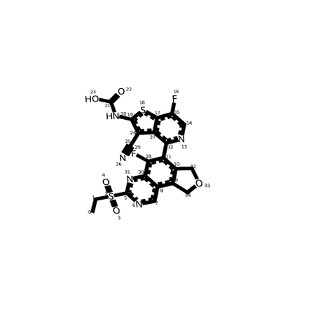 CCS(=O)(=O)c1ncc2c3c(c(-c4ncc(F)c5sc(NC(=O)O)c(C#N)c45)c(F)c2n1)COC3